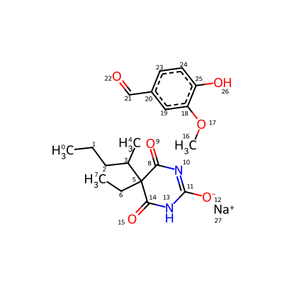 CCCC(C)C1(CC)C(=O)N=C([O-])NC1=O.COc1cc(C=O)ccc1O.[Na+]